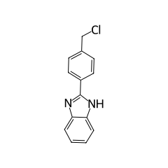 ClCc1ccc(-c2nc3ccccc3[nH]2)cc1